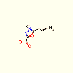 C=CCc1nnc(C(=O)[O-])o1.[K+]